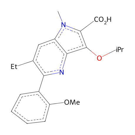 CCc1cc2c(nc1-c1ccccc1OC)c(OC(C)C)c(C(=O)O)n2C